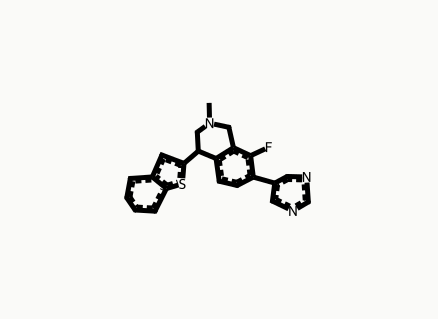 CN1Cc2c(ccc(-c3cncnc3)c2F)C(c2cc3ccccc3s2)C1